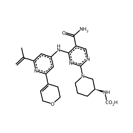 C=C(C)c1cc(Nc2nc(N3CCC[C@H](NC(=O)O)C3)ncc2C(N)=O)cc(C2=CCOCC2)n1